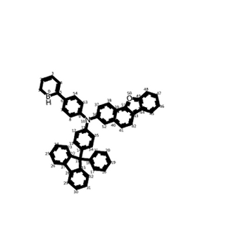 B1CC=CC=C1c1ccc(N(c2ccc(C3(c4ccccc4)c4ccccc4-c4ccccc43)cc2)c2ccc3c(ccc4c5ccccc5oc34)c2)cc1